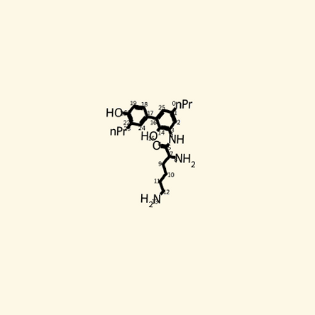 CCCc1cc(NC(=O)C(N)CCCCN)c(O)c(-c2ccc(O)c(CCC)c2)c1